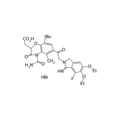 Br.CCOc1cc2c(c(F)c1OCC)C(=N)N(CC(=O)c1cc(C(C)(C)C)c3c(c1C)N(C(N)=O)C(=O)C(CC(=O)O)O3)C2